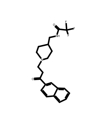 O=C(CCN1CCC(CNC(=O)C(F)(F)F)CC1)c1ccc2ccccc2c1